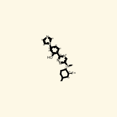 CC1CC[C@H](N(C)c2cnc(-c3ccc(-n4ccnc4)cc3O)nn2)[C@@H](F)C1